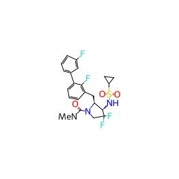 CNC(=O)N1CC(F)(F)[C@H](NS(=O)(=O)C2CC2)[C@@H]1Cc1cccc(-c2cccc(F)c2)c1F